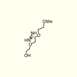 COCCOCCOCCO.N=[N+]=N